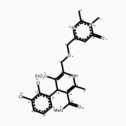 CCOC(=O)C1=C(COCc2cc(=O)n(C)c(C)n2)NC(C)=C(C(=O)OC)C1c1cccc(Cl)c1Cl